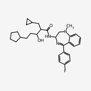 CN1CC(NC(=O)C(CC2CC2)C(O)CCC2CCCC2)N=C(c2ccc(F)cc2)c2ccccc21